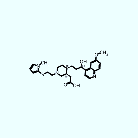 COc1ccc2nccc([C@H](O)CC[C@@H]3CCN(CCSc4cccn4C)C[C@@H]3CC(=O)O)c2c1